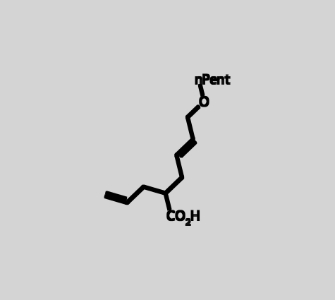 C=CCC(C/C=C/COCCCCC)C(=O)O